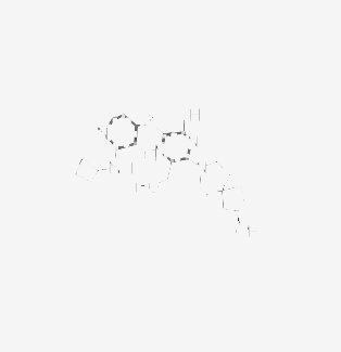 Cc1nc(N2CCC3(CC2)CO[C@@H](C)C3)c(CO)nc1Sc1ccnc(NC2CCC2)c1Cl